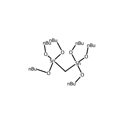 CCCC[O][Sn]([CH2][Sn]([O]CCCC)([O]CCCC)[O]CCCC)([O]CCCC)[O]CCCC